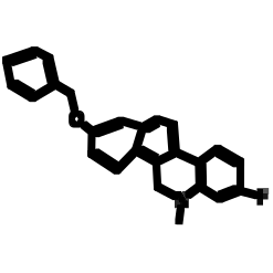 CN1Cc2c(ccc3cc(OCc4ccccc4)ccc23)-c2ccc(F)cc21